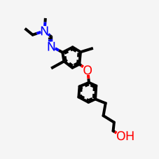 CCN(C)C=Nc1cc(C)c(Oc2cccc(CCCCO)c2)cc1C